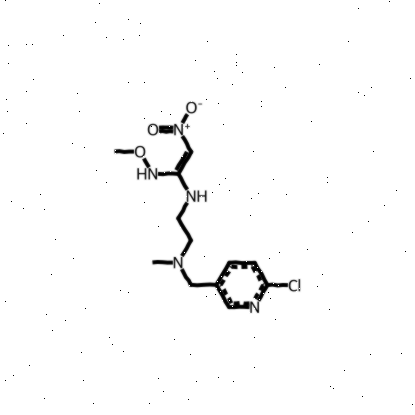 CONC(=C[N+](=O)[O-])NCCN(C)Cc1ccc(Cl)nc1